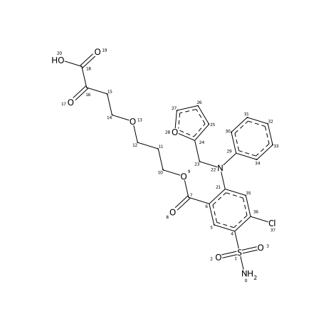 NS(=O)(=O)c1cc(C(=O)OCCCOCCC(=O)C(=O)O)c(N(Cc2ccco2)c2ccccc2)cc1Cl